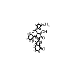 Cc1ccc(C(=O)C2=C(O)C(=O)N(c3nc4c(Cl)cccc4s3)C2c2ccccc2F)s1